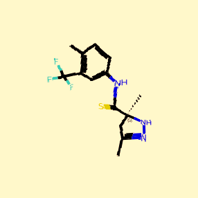 CC1=NN[C@](C)(C(=S)Nc2ccc(C)c(C(F)(F)F)c2)C1